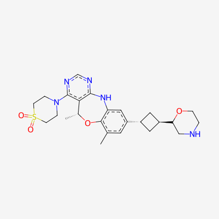 Cc1cc([C@H]2C[C@H](C3CNCCO3)C2)cc2c1O[C@H](C)c1c(ncnc1N1CCS(=O)(=O)CC1)N2